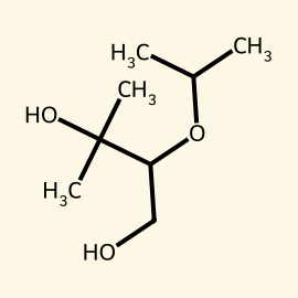 CC(C)OC(CO)C(C)(C)O